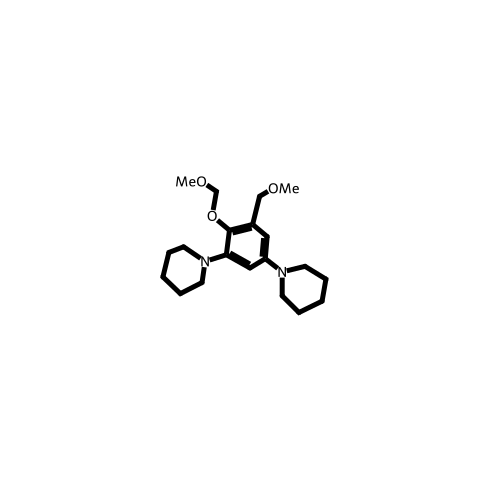 COCOc1c(COC)cc(N2CCCCC2)cc1N1CCCCC1